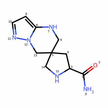 NC(=O)C1CC2(CNc3ccnn3C2)CN1